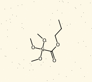 CCCOC(=O)[Si](OC)(OC)OC